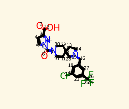 O=C(O)c1ccn(C(=O)N2CCC3(CCN(Cc4cc(Cl)cc(C(F)(F)F)c4)C3)CC2)n1